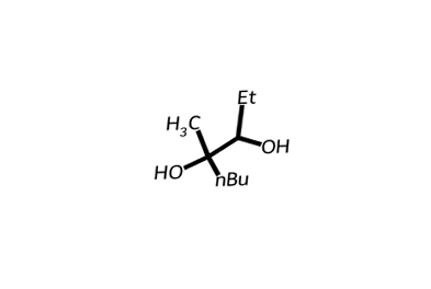 CCCCC(C)(O)C(O)CC